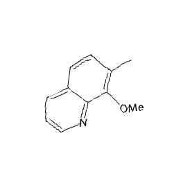 COc1c(C)ccc2cccnc12